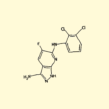 Nc1n[nH]c2nc(Nc3cccc(Cl)c3Cl)c(F)cc12